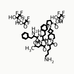 CC(C)CC(NC(=O)C(Cc1ccccc1)NC(=O)C(N)Cc1ccccc1)C(=O)NC(CCCCN)C(=O)N1CCC2(CC1)CC(N1CCC[C@@H]1C(=O)O)C2.O=C(O)C(F)(F)F.O=C(O)C(F)(F)F.O=C(O)C(F)(F)F